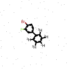 [2H]c1c([2H])c([2H])c(-c2ccc(Br)c(F)c2)c([2H])c1[2H]